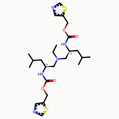 CCN(C[C@H](CC(C)C)NC(=O)OCc1cncs1)C[C@H](CC(C)C)NC(=O)OCc1cncs1